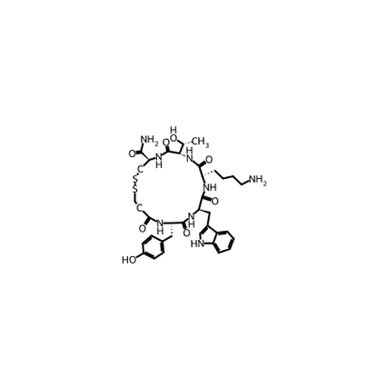 C[C@@H](O)[C@@H]1NC(=O)[C@H](CCCCN)NC(=O)[C@@H](Cc2c[nH]c3ccccc23)NC(=O)[C@H](Cc2ccc(O)cc2)NC(=O)CCSSC[C@@H](C(N)=O)NC1=O